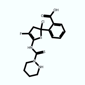 O=C(O)c1ccccc1C1(Cl)CC(F)=C(NC(=S)N2CCCCN2)S1